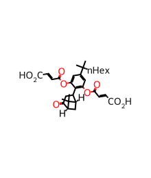 CCCCCCC(C)(C)c1cc(OC(=O)/C=C/C(=O)O)c(C2CC(=O)[C@H]3C[C@@H]2C3(C)C)c(OC(=O)/C=C/C(=O)O)c1